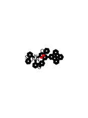 c1cc(-c2ccc3c(c2)-c2ccccc2C32c3ccccc3-c3ccccc32)cc(-c2ccc3oc4cccc(-c5nc(-c6ccc7c(c6)oc6ccccc67)nc(-c6cccc7sc8ccccc8c67)n5)c4c3c2)c1